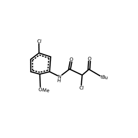 COc1ccc(Cl)cc1NC(=O)C(Cl)C(=O)C(C)(C)C